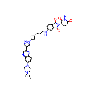 CN1CCN(c2ccc3nc(-c4cnn([C@H]5C[C@@H](CCCNc6ccc7c(c6)C(=O)N(C6CCC(=O)NC6=O)C7=O)C5)c4)cnc3c2)CC1